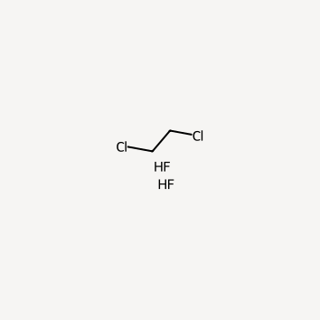 ClCCCl.F.F